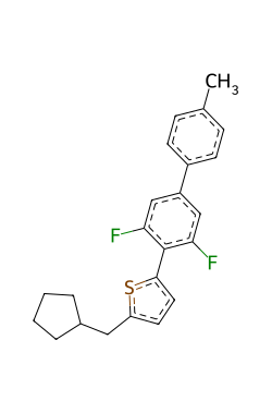 Cc1ccc(-c2cc(F)c(-c3ccc(CC4CCCC4)s3)c(F)c2)cc1